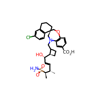 C[C@H]([C@@H](C)/C=C/[C@H](O)[C@@H]1CCC1CN1C[C@@]2(CCCc3cc(Cl)ccc32)COc2ccc(C(=O)O)cc21)S(N)(=O)=O